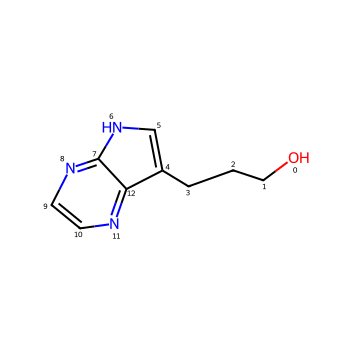 OCCCc1c[nH]c2nccnc12